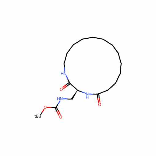 CC(C)(C)OC(=O)NC[C@@H]1NC(=O)CCCCCCCCCCCCNC1=O